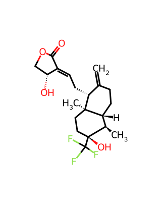 C=C1CC[C@@H]2[C@@H](C)[C@](O)(C(F)(F)F)CC[C@@]2(C)[C@@H]1C/C=C1/C(=O)OC[C@H]1O